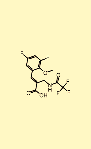 COc1c(F)cc(F)cc1C=C(CNC(=O)C(F)(F)F)C(=O)O